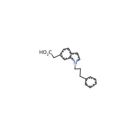 O=C(O)Cc1ccc2ccn(CCCc3ccccc3)c2c1